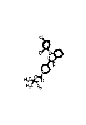 CC(C)(C)OC(=O)N1CCC(C(=O)Nc2ccccc2Oc2ccc(Cl)cc2Cl)CC1